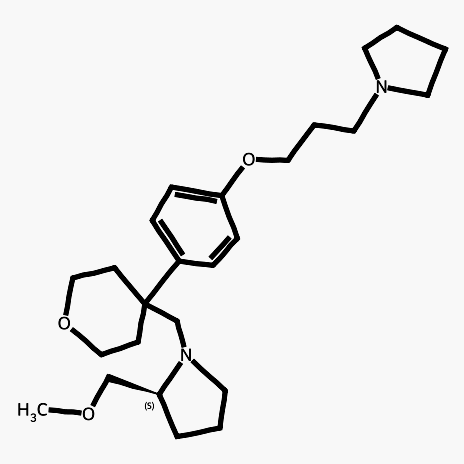 COC[C@@H]1CCCN1CC1(c2ccc(OCCCN3CCCC3)cc2)CCOCC1